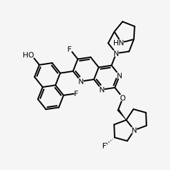 Oc1cc(-c2nc3nc(OC[C@@]45CCCN4C[C@H](F)C5)nc(N4CC5CCC(C4)N5)c3cc2F)c2c(F)cccc2c1